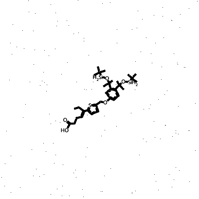 CCC(=CCCC(=O)O)c1ccc(COc2ccc(C(C)(C)O[SiH2]C(C)(C)C)c(C(C)(C)O[SiH2]C(C)(C)C)c2)s1